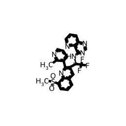 Cc1ncccc1-c1nc2c(S(C)(=O)=O)cccc2cc1[C@@H](Nc1ncnc2cccnc12)C(F)(F)F